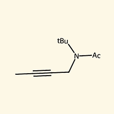 CC#CCN(C(C)=O)C(C)(C)C